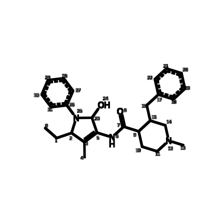 CCC1C(C)=C(NC(=O)C2CCN(C)CC2Cc2ccccc2)C(O)N1c1ccccc1